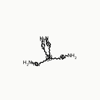 NCCN1CCN(CCCCCCOC(OCCCCCCN2CCN(CCN)CC2)(OCCCCCCN2CCN(CCN)CC2)OCCCCCCN2CCN(CCN)CC2)CC1